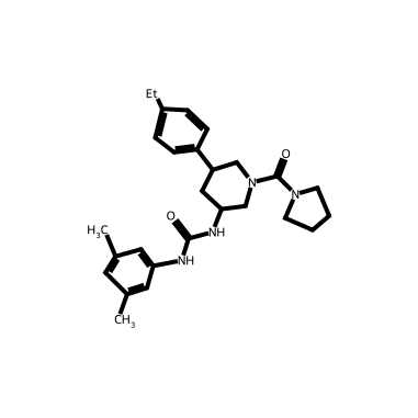 CCc1ccc(C2CC(NC(=O)Nc3cc(C)cc(C)c3)CN(C(=O)N3CCCC3)C2)cc1